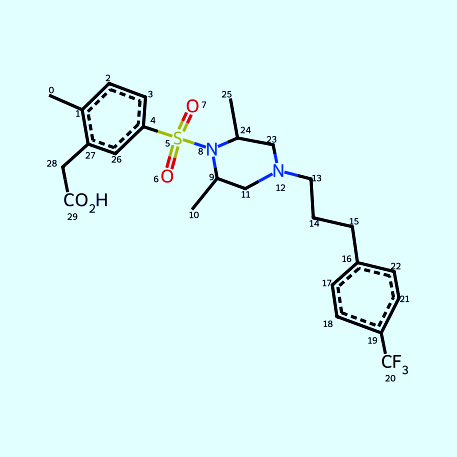 Cc1ccc(S(=O)(=O)N2C(C)CN(CCCc3ccc(C(F)(F)F)cc3)CC2C)cc1CC(=O)O